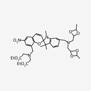 CCOC(=O)CN(CC(=O)OCC)Cc1cc([N+](=O)[O-])cc2c1OC1(C=C2)N(C)c2cc(CN(CC3OC(C)O3)CC3OC(C)O3)ccc2C1(C)C